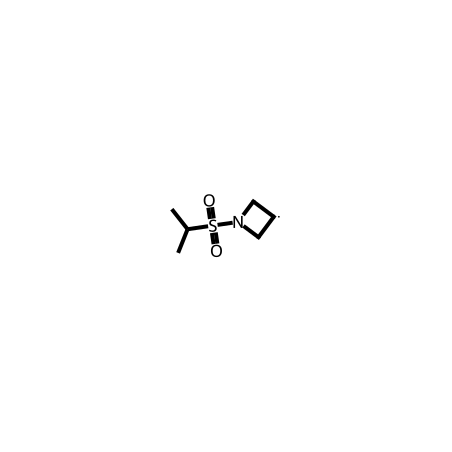 CC(C)S(=O)(=O)N1C[CH]C1